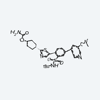 CN(C)Cc1cncc(-c2ccc(-c3cnc([C@H]4CC[C@H](OC(N)=O)CC4)s3)c(S(=O)(=O)NC(C)(C)C)c2)c1